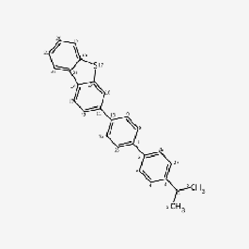 CC(C)c1ccc(-c2ccc(-c3ccc4c(c3)sc3ccccc34)cc2)cc1